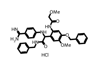 COCC(=O)Nc1cc(OCc2ccccc2)c(OC)cc1C(Nc1ccc(C(=N)N)cc1)C(=O)NCc1ccccc1.Cl